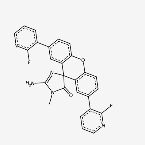 CN1C(=O)C2(N=C1N)c1cc(-c3cccnc3F)ccc1Oc1ccc(-c3cccnc3F)cc12